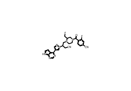 N#CCC(CN1CCN(C(=O)c2ccc(C#N)cc2F)CC1CF)n1cc(-c2ncnc3[nH]ccc23)cn1